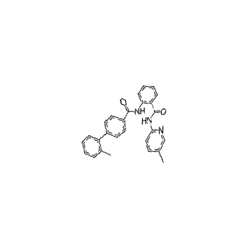 Cc1ccc(NC(=O)c2ccccc2NC(=O)c2ccc(-c3ccccc3C)cc2)nc1